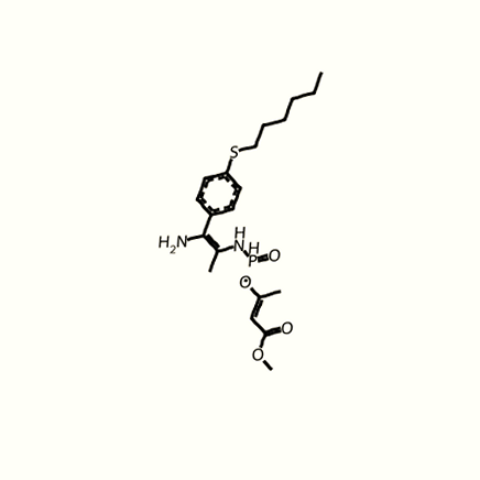 CCCCCCSc1ccc(/C(N)=C(/C)N[PH](=O)O/C(C)=C/C(=O)OC)cc1